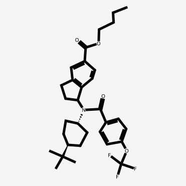 CCCCOC(=O)c1ccc2c(c1)CCC2N(C(=O)c1ccc(OC(F)(F)F)cc1)[C@H]1CC[C@H](C(C)(C)C)CC1